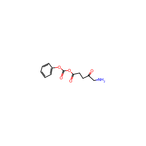 NCC(=O)CCC(=O)OC(=O)Oc1ccccc1